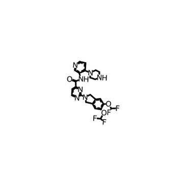 O=C(Nc1cnccc1N1CCNCC1)c1ccnc(N2Cc3cc(OC(F)F)c(OC(F)F)cc3C2)n1